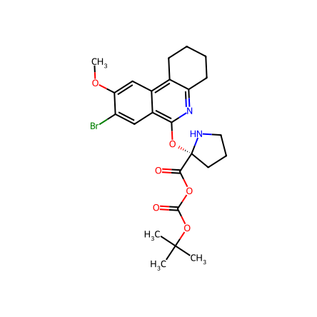 COc1cc2c3c(nc(O[C@@]4(C(=O)OC(=O)OC(C)(C)C)CCCN4)c2cc1Br)CCCC3